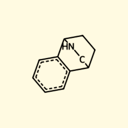 c1ccc2c(c1)C1CCC2NC1